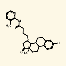 Cc1cccnc1NC(=O)CCC[C@@H]1CC(=O)[C@@]2(C)CCC3c4ccc(Cl)cc4CCC3C12